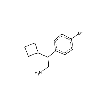 NCC(c1ccc(Br)cc1)C1CCC1